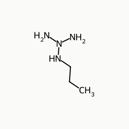 CCCNN(N)N